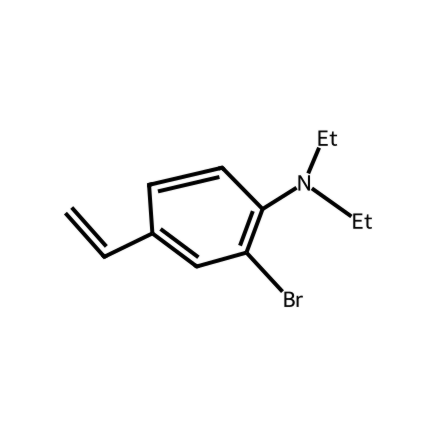 C=Cc1ccc(N(CC)CC)c(Br)c1